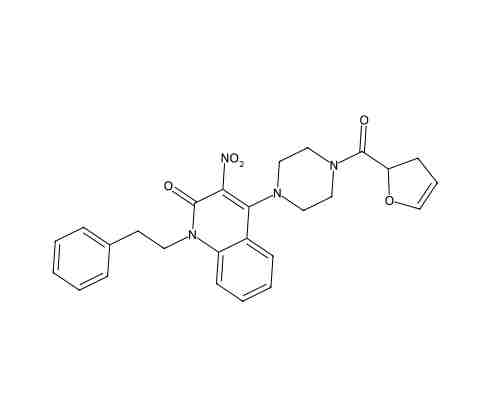 O=C(C1CC=CO1)N1CCN(c2c([N+](=O)[O-])c(=O)n(CCc3ccccc3)c3ccccc23)CC1